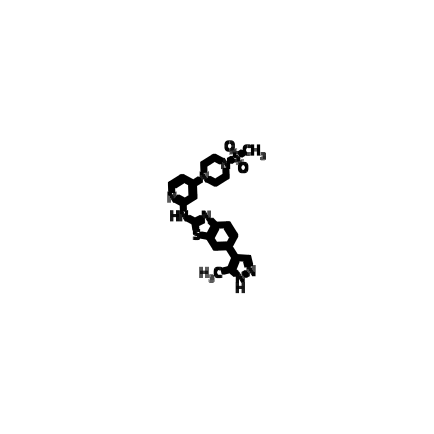 Cc1[nH]ncc1-c1ccc2nc(Nc3cc(N4CCN(S(C)(=O)=O)CC4)ccn3)sc2c1